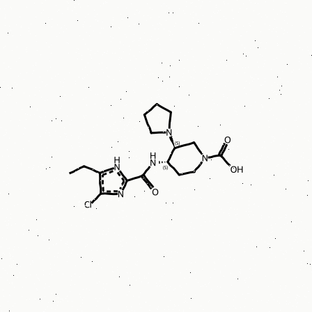 CCc1[nH]c(C(=O)N[C@H]2CCN(C(=O)O)C[C@@H]2N2CCCC2)nc1Cl